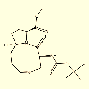 COC(=O)[C@@H]1CC[C@@H]2CC/C=N\C[C@H](NC(=O)OC(C)(C)C)C(=O)N21